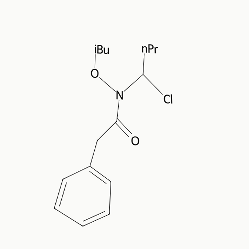 CCCC(Cl)N(OC(C)CC)C(=O)Cc1ccccc1